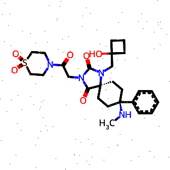 CN[C@]1(c2ccccc2)CC[C@]2(CC1)C(=O)N(CC(=O)N1CCS(=O)(=O)CC1)C(=O)N2CC1(O)CCC1